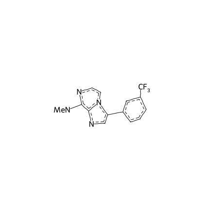 CNc1nccn2c(-c3cccc(C(F)(F)F)c3)cnc12